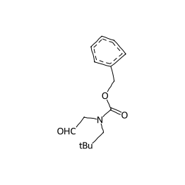 CC(C)(C)CN(CC=O)C(=O)OCc1ccccc1